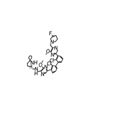 COc1nc(-c2cccc(-c3cccc(-c4cnc(CN5CCC[C@@H](F)C5)c(OC)n4)c3Cl)c2Cl)cnc1CNC[C@@H]1CCC(=O)N1